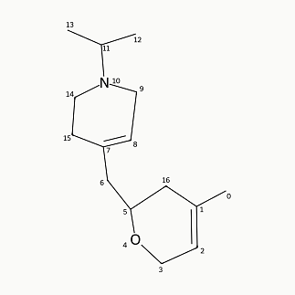 CC1=CCOC(CC2=CCN(C(C)C)CC2)C1